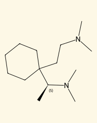 C[C@H](N(C)C)C1(CCN(C)C)CCCCC1